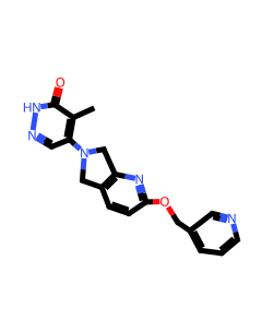 Cc1c(N2Cc3ccc(OCc4cccnc4)nc3C2)cn[nH]c1=O